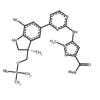 CNC(=O)c1cc(Nc2nccc(-c3cc(C#N)c4c(c3)[C@@](C)(CO[Si](C)(C)C(C)(C)C)CN4)n2)n(C)n1